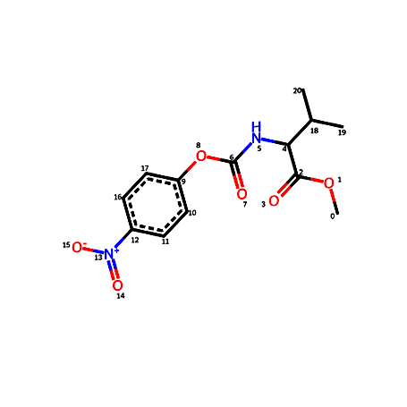 COC(=O)C(NC(=O)Oc1ccc([N+](=O)[O-])cc1)C(C)C